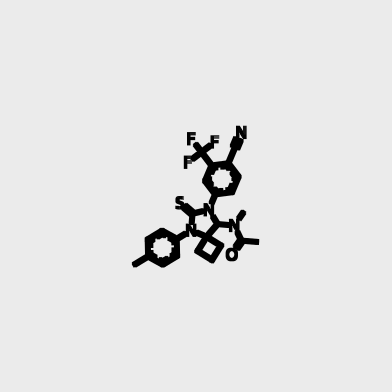 CC(=O)N(C)C1N(c2ccc(C#N)c(C(F)(F)F)c2)C(=S)N(c2ccc(C)cc2)C12CCC2